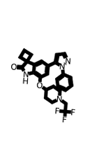 O=C1Nc2c(OC3CCN(CC(F)(F)F)CC3)cc(-c3ccnn3-c3ccccc3)cc2C12CCC2